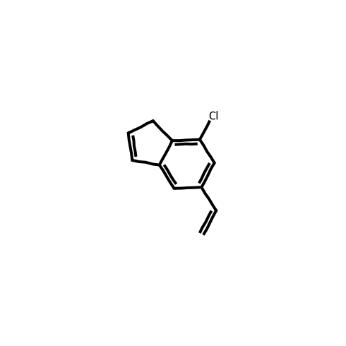 C=Cc1cc(Cl)c2c(c1)C=CC2